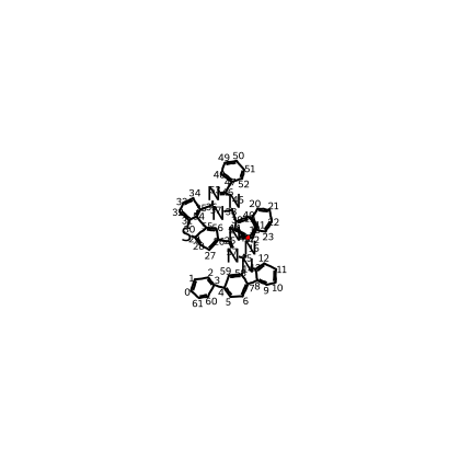 c1ccc(-c2ccc3c4ccccc4n(-c4nc(-c5ccccc5)nc(-c5ccc6sc7cccc(-c8nc(-c9ccccc9)nc(-c9ccccc9)n8)c7c6c5)n4)c3c2)cc1